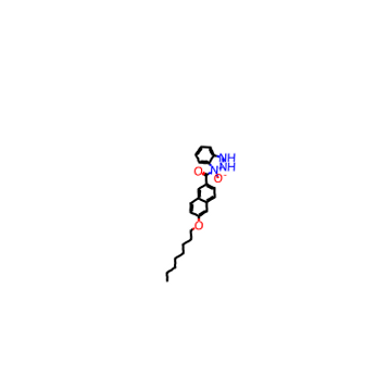 CCCCCCCCOc1ccc2cc(C(=O)[N+]3([O-])NNc4ccccc43)ccc2c1